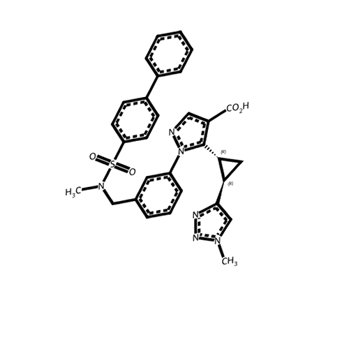 CN(Cc1cccc(-n2ncc(C(=O)O)c2[C@@H]2C[C@H]2c2cn(C)nn2)c1)S(=O)(=O)c1ccc(-c2ccccc2)cc1